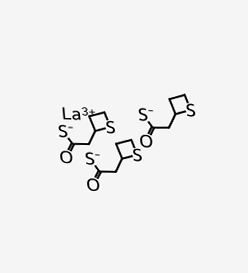 O=C([S-])CC1CCS1.O=C([S-])CC1CCS1.O=C([S-])CC1CCS1.[La+3]